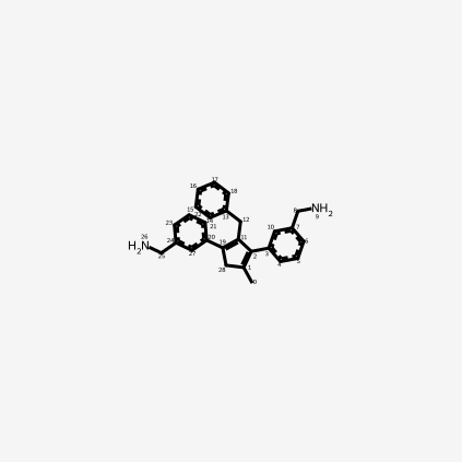 CC1=C(c2cccc(CN)c2)C(Cc2ccccc2)=C(c2cccc(CN)c2)C1